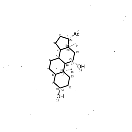 CC(=O)[C@H]1CCC2C3CCC4C[C@@H](O)CC[C@]4(C)C3[C@@H](O)C[C@@]21C